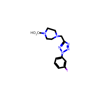 O=C(O)N1CCN(Cc2nnn(-c3cccc(I)c3)n2)CC1